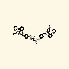 CCCCC(NC(=O)Cc1ccc(OOC(=O)CC(=O)OOc2ccc(CC(=O)NC(CCCC)c3ccccc3N3CCCCC3)cc2)cc1)c1ccccc1N1CCCCC1